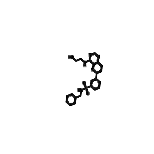 O=S(=O)(NCc1ccccc1)c1cccc(-c2ccc3ncnc(NCCO)c3n2)c1